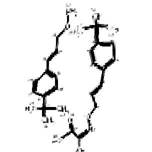 CC(=NOCC=Cc1ccc(C(C)(C)C)cc1)C(=O)O.CC(C)(C)c1ccc(C=CCON)cc1